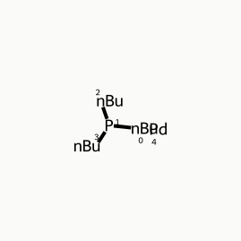 CCCCP(CCCC)CCCC.[Pd]